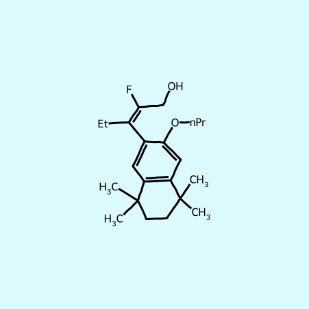 CCCOc1cc2c(cc1/C(CC)=C(/F)CO)C(C)(C)CCC2(C)C